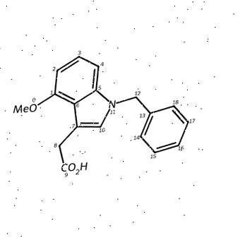 COc1cccc2c1c(CC(=O)O)cn2Cc1ccccc1